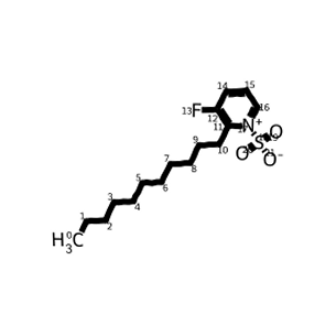 CCCCCCCCCCCc1c(F)ccc[n+]1S(=O)(=O)[O-]